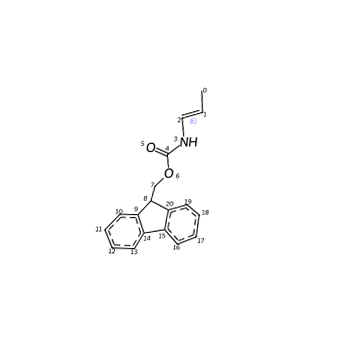 C/C=C/NC(=O)OCC1c2ccccc2-c2ccccc21